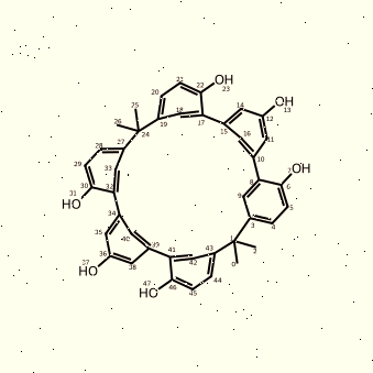 CC1(C)c2ccc(O)c(c2)-c2cc(O)cc(c2)-c2cc(ccc2O)C(C)(C)c2ccc(O)c(c2)-c2cc(O)cc(c2)-c2cc1ccc2O